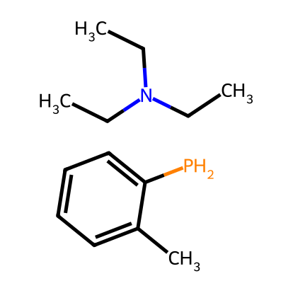 CCN(CC)CC.Cc1ccccc1P